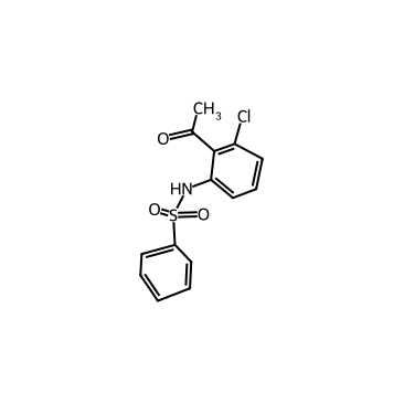 CC(=O)c1c(Cl)cccc1NS(=O)(=O)c1ccccc1